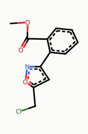 COC(=O)c1ccccc1-c1cc(CCl)on1